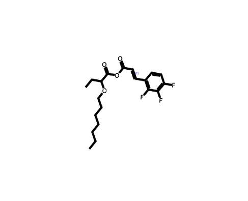 CCCCCCCOC(CC)C(=O)OC(=O)/C=C/c1ccc(F)c(F)c1F